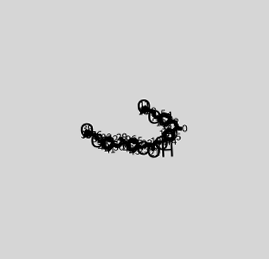 CC(Cc1ccc(OCC2CO2)cc1)c1ccc(OCC(O)COc2ccc(C(C)Cc3ccc(OCC4CO4)cc3)cc2)cc1